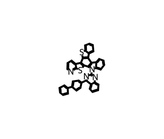 c1ccc(-c2ccc(-c3nc(-n4c5ccccc5c5c6c7ccccc7sc6c6c7cccnc7sc6c54)nc4ccccc34)cc2)cc1